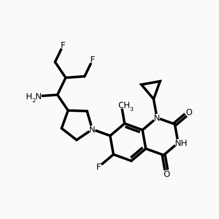 CC1=c2c(c(=O)[nH]c(=O)n2C2CC2)=CC(F)C1N1CCC(C(N)C(CF)CF)C1